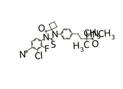 CNC(=O)C(C)(C)CCc1ccc(N2C(=S)N(c3ccc(C#N)c(Cl)c3F)C(=O)C23CCC3)cc1